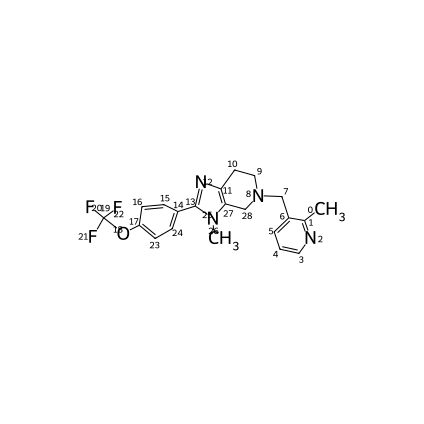 Cc1ncccc1CN1CCc2nc(-c3ccc(OC(F)(F)F)cc3)n(C)c2C1